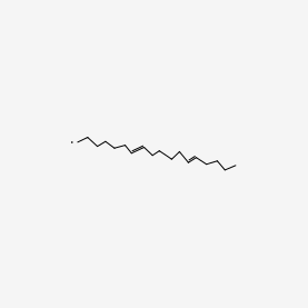 [CH2]CCCCCC=CCCCCC=CCCCC